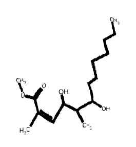 CCCCCCCC(O)C(C)C(O)C=C(C)C(=O)OC